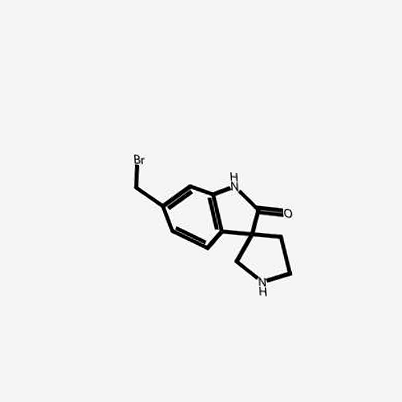 O=C1Nc2cc(CBr)ccc2C12CCNC2